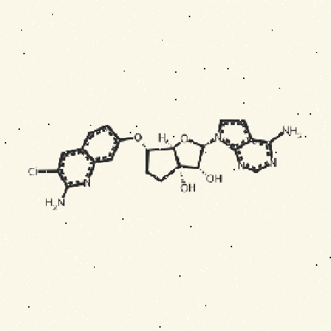 Nc1nc2cc(O[C@H]3CC[C@@]4(O)[C@@H]3O[C@@H](n3ccc5c(N)ncnc53)[C@@H]4O)ccc2cc1Cl